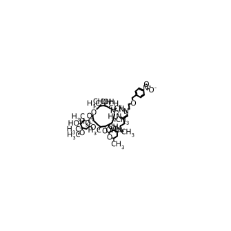 CC[C@H]1OC(=O)[C@H](C)[C@@H](O[C@H]2C[C@@](C)(OC)[C@@H](O)[C@H](C)O2)[C@H](C)[C@@H](O[C@@H]2O[C@H](C)C[C@H](N(C)CC/C(N)=C/N(N)CCOCc3ccc([N+](=O)[O-])cc3)[C@H]2O)[C@](C)(O)C[C@@H](C)CN(C)[C@H](C)[C@@H](O)[C@]1(C)O